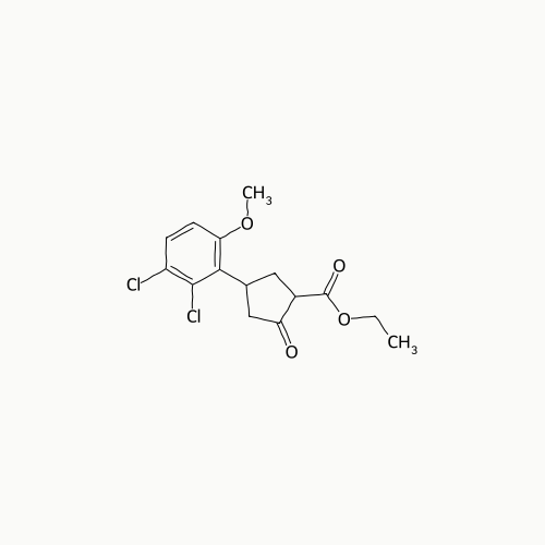 CCOC(=O)C1CC(c2c(OC)ccc(Cl)c2Cl)CC1=O